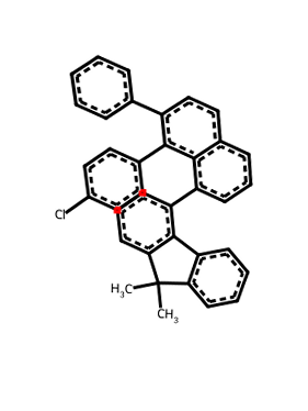 CC1(C)c2ccccc2-c2c(-c3cccc4ccc(-c5ccccc5)c(-c5ccc(Cl)cc5)c34)cccc21